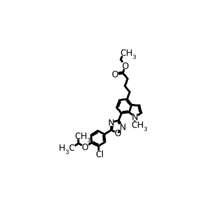 CCOC(=O)CCCc1ccc(-c2noc(-c3ccc(OC(C)C)c(Cl)c3)n2)c2c1ccn2C